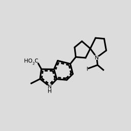 Cc1[nH]c2ccc(C3CCC4(CCCN4C(C)I)C3)cc2c1C(=O)O